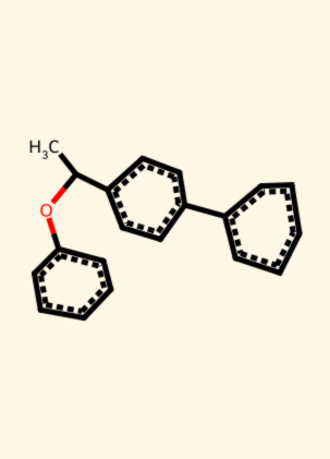 CC(Oc1ccccc1)c1ccc(-c2ccccc2)cc1